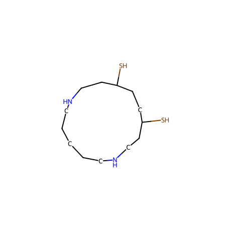 SC1CCNCCCCCNCCC(S)CC1